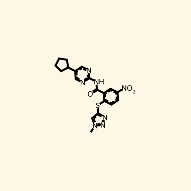 Cn1cc(Sc2ccc([N+](=O)[O-])cc2C(=O)Nc2ncc(C3CCCC3)cn2)nn1